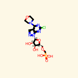 O=P(O)(O)COC[C@H]1O[C@@H](n2ncc3c(N4CCOCC4)nc(Cl)nc32)[C@H](O)[C@@H]1O